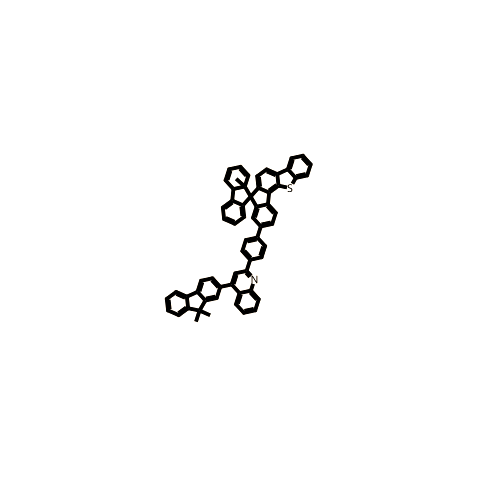 CC1(C)c2ccccc2-c2ccc(-c3cc(-c4ccc(-c5ccc6c(c5)C5(c7ccccc7C7C=CC=CC75C)c5ccc7c(sc8ccccc87)c5-6)cc4)nc4ccccc34)cc21